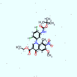 CCOC(=O)c1cn(-c2cc(NC(=O)OC(C)(C)C)c(F)cc2F)c2c(C)c([N+](=O)[O-])c(OC)cc2c1=O